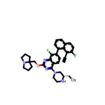 C#Cc1c(F)ccc2cccc(-c3ccc4c(N5CCN[C@@H](CC#N)C5)nc(OCC56CCCN5CCC6)nc4c3F)c12